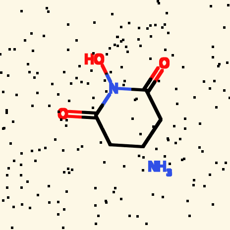 N.O=C1CCCC(=O)N1O